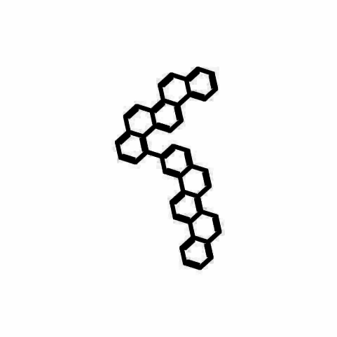 c1ccc2c(c1)ccc1c2ccc2c3cc(-c4cccc5ccc6c7ccc8ccccc8c7ccc6c45)ccc3ccc21